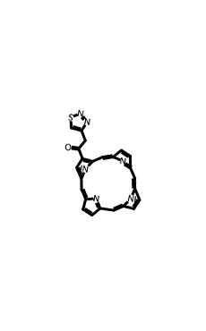 O=C(Cc1csnn1)c1cc2cc3nc(cc4ccc(cc5nc(cc1[nH]2)C=C5)[nH]4)C=C3